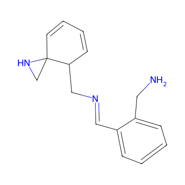 NCc1ccccc1/C=N/CC1C=CC=CC12CN2